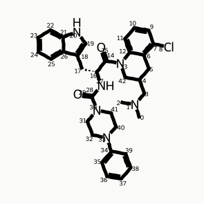 CN(C)CC1Cc2c(Cl)cccc2N(C(=O)[C@@H](Cc2c[nH]c3ccccc23)NC(=O)N2CCN(c3ccccc3)CC2)C1